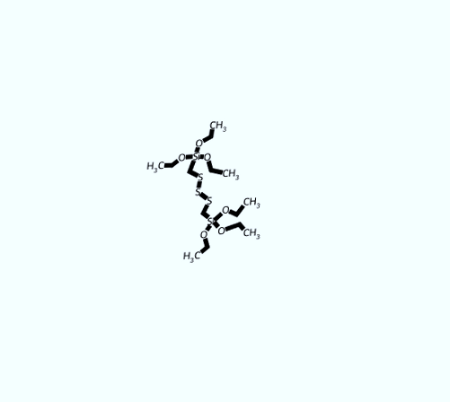 CCO[Si](CSSSC[Si](OCC)(OCC)OCC)(OCC)OCC